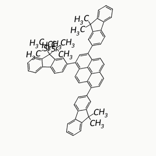 CC1(C)c2ccccc2-c2ccc(-c3ccc4ccc5c(-c6ccc7c(c6)C(C)(C)c6ccccc6-7)cc(-c6ccc7c(c6)C([Si](C)(C)C)([Si](C)(C)C)c6ccccc6-7)c6ccc3c4c56)cc21